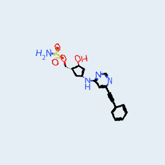 NS(=O)(=O)OC[C@H]1C[C@@H](Nc2cc(C#Cc3ccccc3)ncn2)C[C@@H]1O